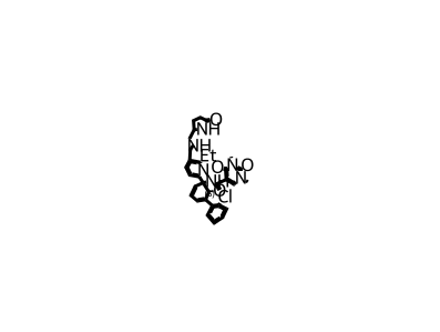 CCc1nc(C2(NC(=O)c3cn(C)c(=O)n(C)c3=O)C=CC=C(c3ccccc3Cl)[C@@H]2C)ccc1CNCC1CCC(=O)N1